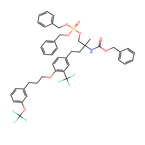 CC(CCc1ccc(OCCCc2cccc(OC(F)(F)F)c2)c(C(F)(F)F)c1)(COP(=O)(OCc1ccccc1)OCc1ccccc1)NC(=O)OCc1ccccc1